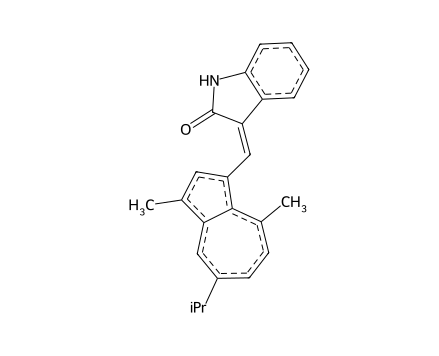 Cc1cc(C=C2C(=O)Nc3ccccc32)c2c(C)ccc(C(C)C)cc1-2